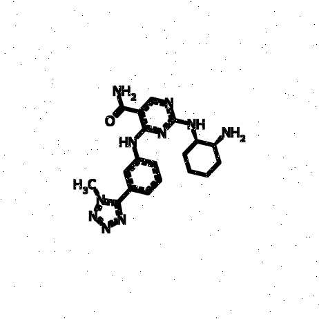 Cn1nnnc1-c1cccc(Nc2nc(N[C@@H]3CCCC[C@@H]3N)ncc2C(N)=O)c1